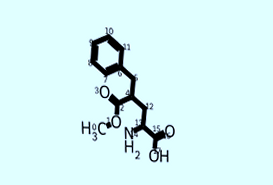 COC(=O)C(Cc1ccccc1)CC(N)C(=O)O